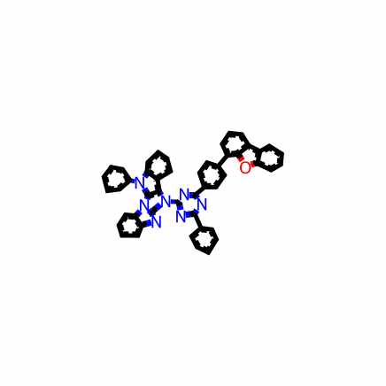 c1ccc(-c2nc(-c3ccc(-c4cccc5c4oc4ccccc45)cc3)nc(-n3c4c5ccccc5n(-c5ccccc5)c4n4c5ccccc5nc34)n2)cc1